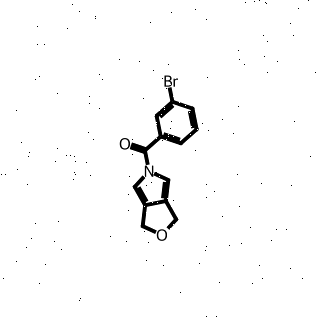 O=C(c1cccc(Br)c1)n1cc2c(c1)COC2